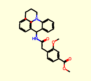 COC(=O)c1ccc(CC(=O)NC(c2ccccc2)c2ccccc2N2CCCCC2)c(OC)c1